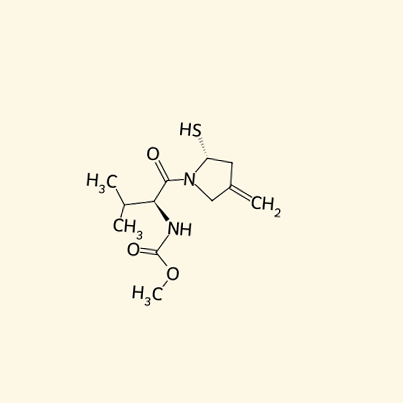 C=C1C[C@@H](S)N(C(=O)[C@@H](NC(=O)OC)C(C)C)C1